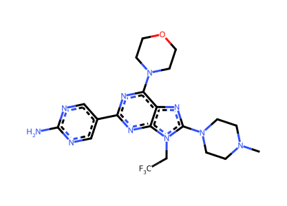 CN1CCN(c2nc3c(N4CCOCC4)nc(-c4cnc(N)nc4)nc3n2CC(F)(F)F)CC1